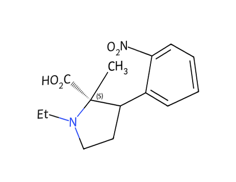 CCN1CCC(c2ccccc2[N+](=O)[O-])[C@@]1(C)C(=O)O